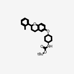 Cc1ccccc1C1CCc2cc(O[C@H]3CC[C@H](NC(=O)OC(C)(C)C)CC3)ccc2O1